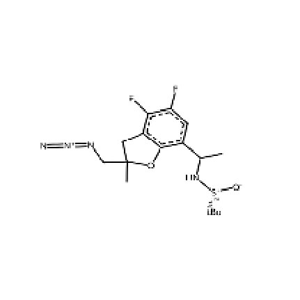 CC(N[S@+]([O-])C(C)(C)C)c1cc(F)c(F)c2c1OC(C)(CN=[N+]=[N-])C2